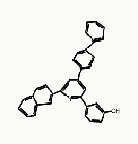 Oc1cccc(-c2cc(-c3ccc(-c4ccccc4)cc3)cc(-c3ccc4ccccc4c3)n2)c1